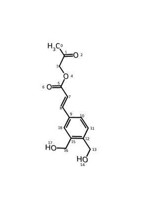 CC(=O)COC(=O)/C=C/c1ccc(CO)c(CO)c1